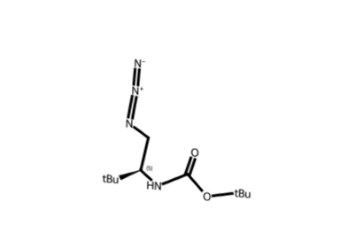 CC(C)(C)OC(=O)N[C@H](CN=[N+]=[N-])C(C)(C)C